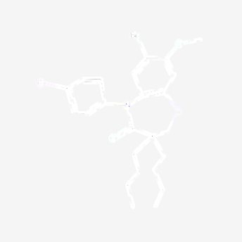 CCCCC1(CCCC)CSc2cc(OC)c(Br)cc2N(c2ccc(Cl)cc2)C1=O